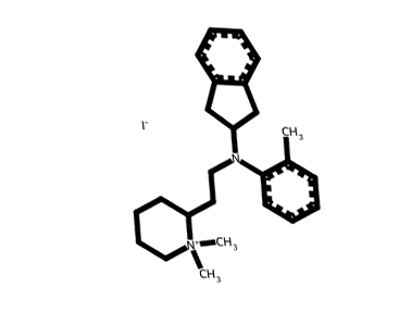 Cc1ccccc1N(CCC1CCCC[N+]1(C)C)C1Cc2ccccc2C1.[I-]